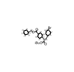 CC(C)COC(=O)N(Cc1ccc(Br)cc1)c1ccc(C(=O)OCc2ccccc2)cc1